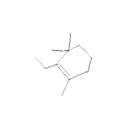 CC1=C(CCl)C(C)(C)CCC1